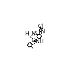 Cc1ccccc1CC(=O)Nc1ccc(-n2cc(Cl)cn2)c(SN)c1